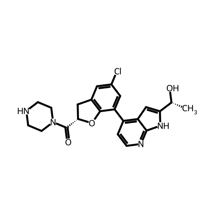 C[C@@H](O)c1cc2c(-c3cc(Cl)cc4c3O[C@H](C(=O)N3CCNCC3)C4)ccnc2[nH]1